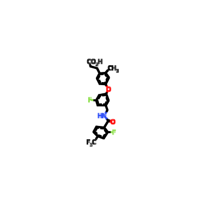 Cc1cc(Oc2cc(F)cc(CNC(=O)c3ccc(C(F)(F)F)cc3F)c2)ccc1CCC(=O)O